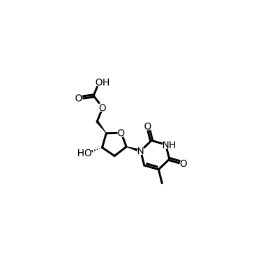 Cc1cn([C@H]2C[C@H](O)[C@@H](COC(=O)O)O2)c(=O)[nH]c1=O